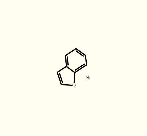 [N].c1ccc2occc2c1